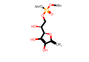 C=C1O[C@H]([C@@H](O)COP(=O)(OC)OC(C)(C)C)C(O)=C1O